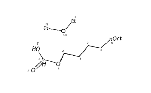 CCCCCCCCCCCCO[PH](=O)O.CCOCC